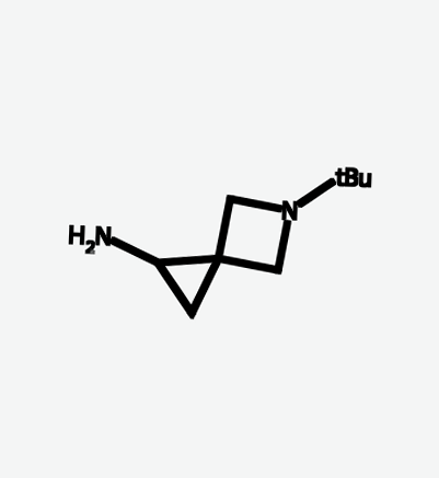 CC(C)(C)N1CC2(CC2N)C1